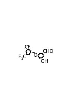 O=Cc1cc(O)cc(OCc2cc(C(F)(F)F)cc(C(F)(F)F)c2)c1